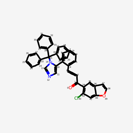 O=C(C=Cc1ccccc1-c1cncn1C(c1ccccc1)(c1ccccc1)c1ccccc1)c1cc2ccoc2cc1Cl